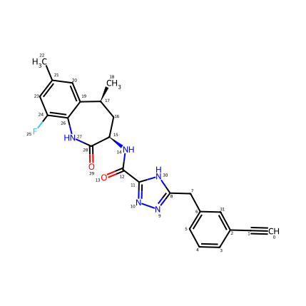 C#Cc1cccc(Cc2nnc(C(=O)N[C@@H]3C[C@H](C)c4cc(C)cc(F)c4NC3=O)[nH]2)c1